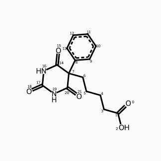 O=C(O)CCCCC1(c2ccccc2)C(=O)NC(=O)NC1=O